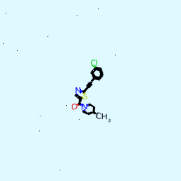 CC1CCN(C(=O)c2cnc(C#Cc3cccc(Cl)c3)s2)CC1